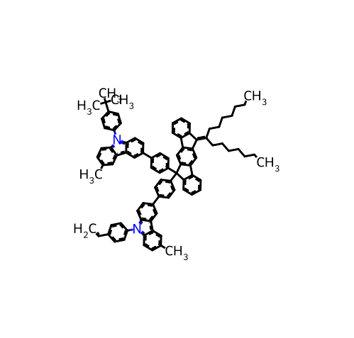 C=Cc1ccc(-n2c3ccc(C)cc3c3cc(-c4ccc(C5(c6ccc(-c7ccc8c(c7)c7cc(C)ccc7n8-c7ccc(C(C)(C)C)cc7)cc6)c6ccccc6-c6cc7c(cc65)-c5ccccc5C7=C(CCCCCCC)CCCCCCC)cc4)ccc32)cc1